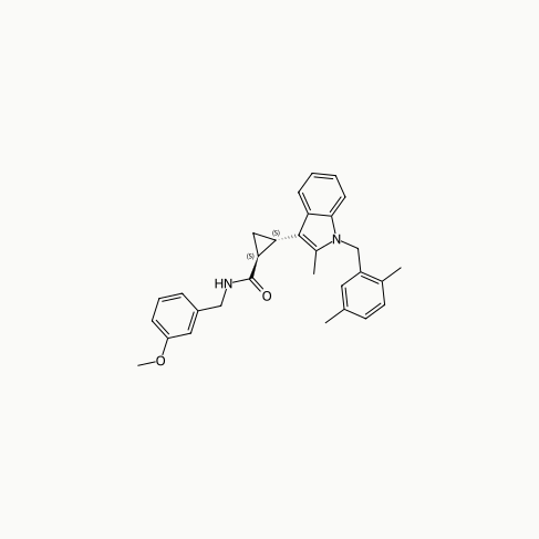 COc1cccc(CNC(=O)[C@H]2C[C@@H]2c2c(C)n(Cc3cc(C)ccc3C)c3ccccc23)c1